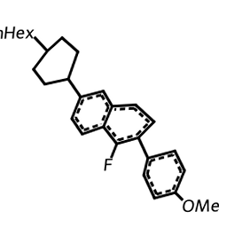 CCCCCCC1CCC(c2ccc3c(F)c(-c4ccc(OC)cc4)ccc3c2)CC1